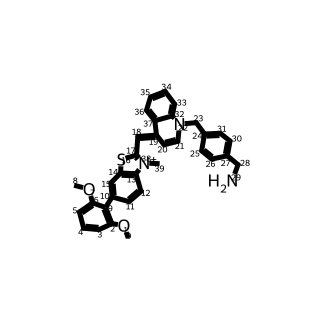 COc1cccc(OC)c1-c1ccc2c(c1)sc(C=C1C=CN(Cc3ccc(CN)cc3)c3ccccc31)[n+]2C